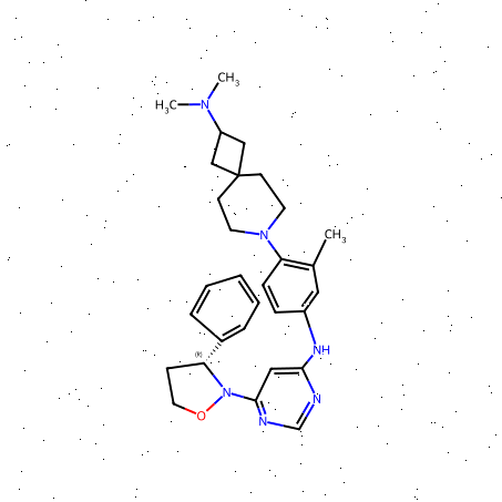 Cc1cc(Nc2cc(N3OCC[C@@H]3c3ccccc3)ncn2)ccc1N1CCC2(CC1)CC(N(C)C)C2